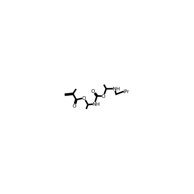 C=C(C)C(=O)OC(C)NC(=O)OC(C)NCC(C)C